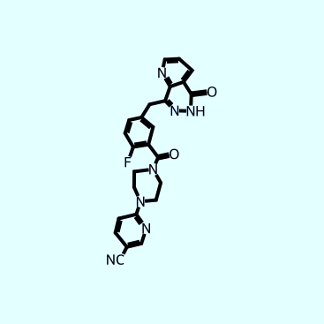 N#Cc1ccc(N2CCN(C(=O)c3cc(Cc4n[nH]c(=O)c5cccnc45)ccc3F)CC2)nc1